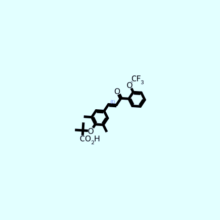 Cc1cc(/C=C/C(=O)c2ccccc2OC(F)(F)F)cc(C)c1OC(C)(C)C(=O)O